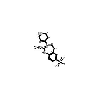 CS(=O)(=O)c1ccc2c(c1)CCN(C1CCNCC1)C(C=O)N2